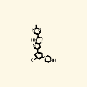 Cc1ncc(C(=O)Nc2ncc(-c3cc(Cl)cc(N4CCNCC4)c3)cc2F)cn1